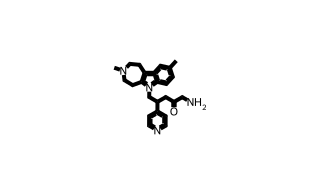 Cc1ccc2c(c1)c1c(n2CC(CC(=O)CN)c2ccncc2)CCN(C)CC1